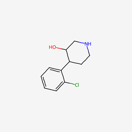 OC1CNCCC1c1ccccc1Cl